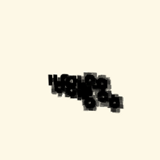 CC1(C)c2ccccc2-c2ccc(-c3nc(-c4ccccc4)nc(-c4cccc5c4Cc4c(-c6cccc(-c7ccccc7)c6)cccc4-5)n3)cc21